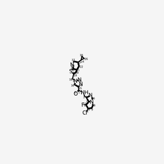 O=C(NCc1ncn2ccc(Cl)c(F)c12)c1cn(Cc2cc3cc(C4CC4)cnc3s2)nn1